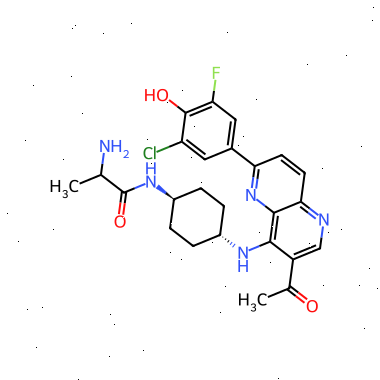 CC(=O)c1cnc2ccc(-c3cc(F)c(O)c(Cl)c3)nc2c1N[C@H]1CC[C@H](NC(=O)C(C)N)CC1